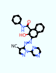 N#Cc1cnn(-c2cnccn2)c1/N=N/c1cc2ccccc2c(C(=O)Nc2ccccc2)c1O